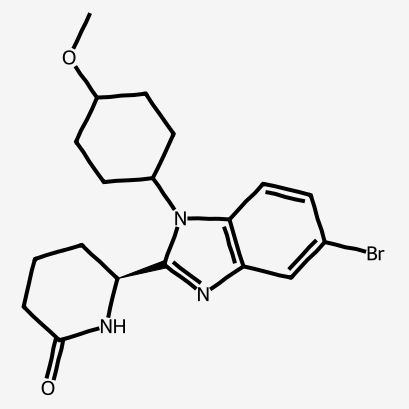 COC1CCC(n2c([C@@H]3CCCC(=O)N3)nc3cc(Br)ccc32)CC1